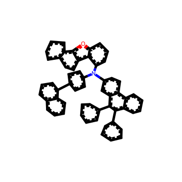 c1ccc(-c2c(-c3ccccc3)c3cc(N(c4ccc(-c5cccc6ccccc56)cc4)c4cccc5oc6c7ccccc7ccc6c45)ccc3c3ccccc23)cc1